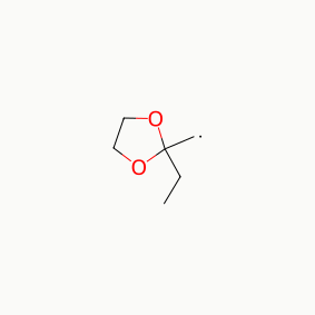 [CH2]C1(CC)OCCO1